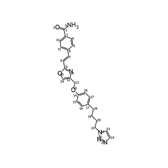 NC(=O)c1ccc(C=Cc2nc(COc3ccc(CCCCn4ccnn4)cc3)co2)cc1